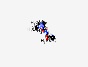 C[C@H](C(=O)N1C[C@H]2[C@@H]([C@H]1C(=O)NC(CC1CCC1)C(=O)C(=O)NCC(=O)N[C@H](C(=O)N(C)C)c1ccccc1)C2(C)C)C(C)(C)C